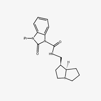 CC(C)n1c(=O)n(C(=O)NC[C@@H]2CCN3CCC[C@H]23)c2ccccc21